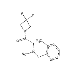 CC(=O)N(CC(=O)N1CC(F)(F)C1)Cc1ncccc1C(F)(F)F